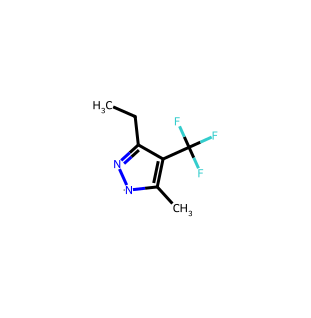 CCC1=N[N]C(C)=C1C(F)(F)F